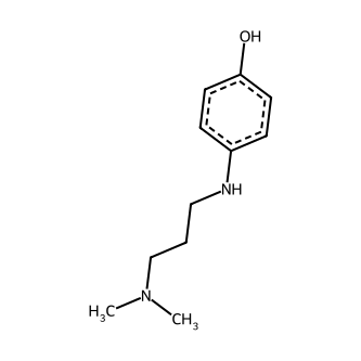 CN(C)CCCNc1ccc(O)cc1